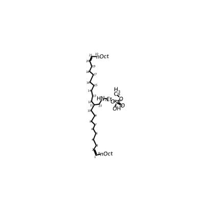 CCCCCCCC/C=C\CCCCCCCCC(CCCCCCCC/C=C\CCCCCCCC)CNCC.COS(=O)(=O)O